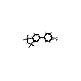 CC1(C)CC(C)(C)c2cc(-c3ccc(Cl)cc3)ccc21